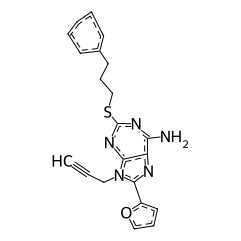 C#CCn1c(-c2ccco2)nc2c(N)nc(SCCCc3ccccc3)nc21